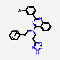 Brc1cccc(-c2nc(N(CCc3nn[nH]n3)CCC3CC4CCC3CC4)c3ccccc3n2)c1